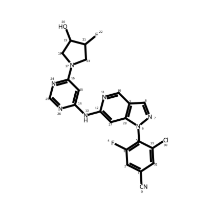 N#Cc1cc(F)c(-n2ncc3cnc(Nc4cc(N5CC(O)C(F)C5)ncn4)cc32)c(Cl)c1